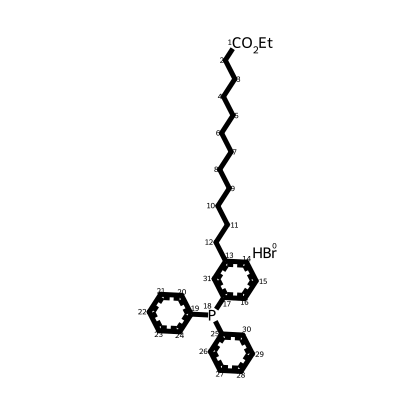 Br.CCOC(=O)CCCCCCCCCCCc1cccc(P(c2ccccc2)c2ccccc2)c1